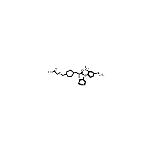 COc1ccc(N(C(=O)NCC2CCC(COCC(=O)O)CC2)c2ccccc2)c(C)c1